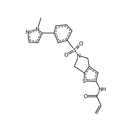 C=CC(=O)Nc1cc2c(s1)CN(S(=O)(=O)c1cccc(-c3ccnn3C)c1)C2